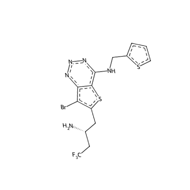 N[C@H](Cc1sc2c(NCc3cccs3)nnnc2c1Br)CC(F)(F)F